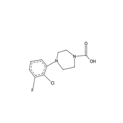 O=C(O)N1CCN(c2cccc(F)c2Cl)CC1